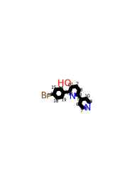 Oc1ccc(-c2ccncc2)nc1-c1ccc(Br)cc1